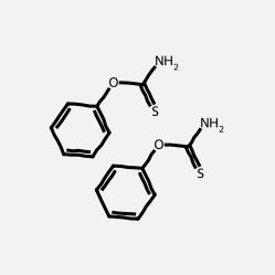 NC(=S)Oc1ccccc1.NC(=S)Oc1ccccc1